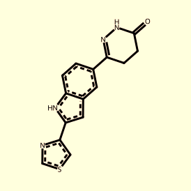 O=C1CCC(c2ccc3[nH]c(-c4cscn4)cc3c2)=NN1